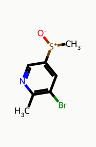 Cc1ncc([S+](C)[O-])cc1Br